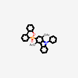 CC(=O)Oc1c(P2(=O)Oc3ccccc3-c3ccccc32)cc(OC(C)=O)c2c1c1ccccc1n2-c1ccccc1